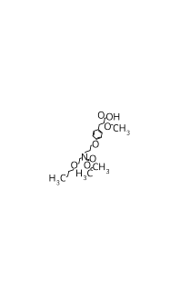 CCCCOCCN(CCCOc1ccc(CC(OCC)C(=O)O)cc1)C(=O)OC(C)C